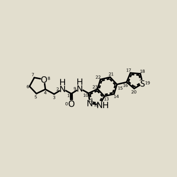 O=C(NCC1CCCO1)Nc1n[nH]c2cc(-c3ccsc3)ccc12